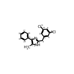 Cc1[nH]c(Cc2cc(Cl)cc(Cl)c2)nc1-c1ccccc1